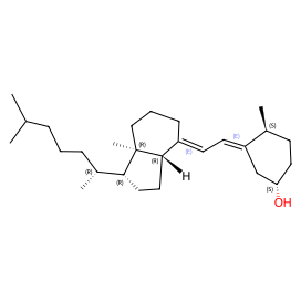 CC(C)CCC[C@@H](C)[C@H]1CC[C@H]2/C(=C/C=C3\C[C@@H](O)CC[C@@H]3C)CCC[C@]12C